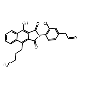 CCCCc1c2c(c(O)c3ccccc13)C(=O)N(c1ccc(CC=O)cc1Cl)C2=O